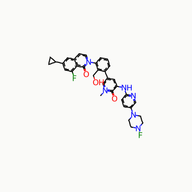 Cn1cc(-c2cccc(-n3ccc4cc(C5CC5)cc(F)c4c3=O)c2CO)cc(Nc2ccc(N3CCN(F)CC3)cn2)c1=O